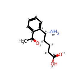 CC(=O)c1ccccc1[C@H](N)CCCC(=O)O